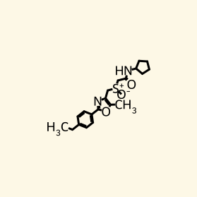 CCc1ccc(-c2nc(C[S+]([O-])CC(=O)NC3CCCC3)c(C)o2)cc1